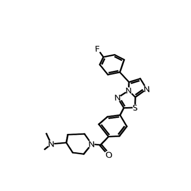 CN(C)C1CCN(C(=O)c2ccc(-c3nn4c(-c5ccc(F)cc5)cnc4s3)cc2)CC1